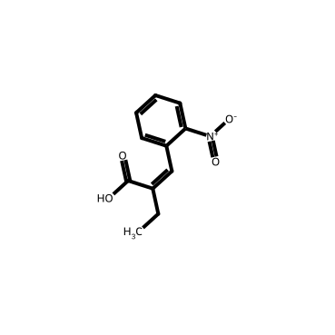 CCC(=Cc1ccccc1[N+](=O)[O-])C(=O)O